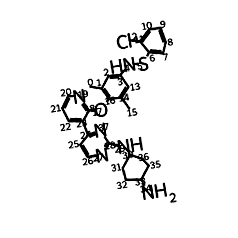 Cc1cc(NSc2ccccc2Cl)cc(C)c1Oc1ncccc1-c1ccnc(N[C@H]2CC[C@H](N)CC2)n1